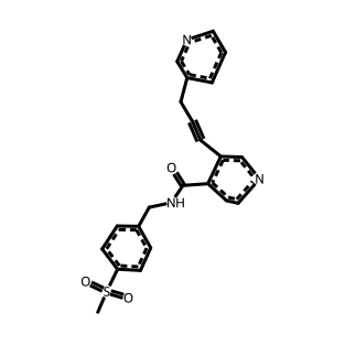 CS(=O)(=O)c1ccc(CNC(=O)c2ccncc2C#CCc2cccnc2)cc1